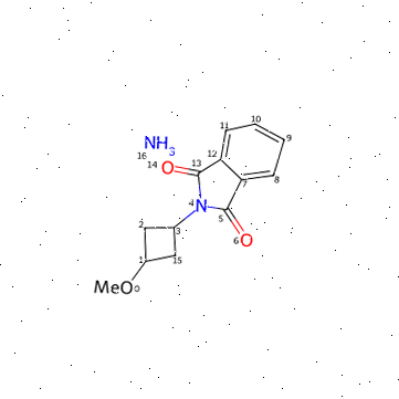 COC1CC(N2C(=O)c3ccccc3C2=O)C1.N